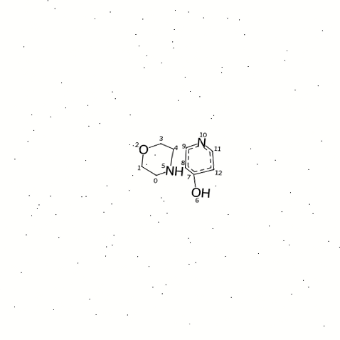 C1COCCN1.Oc1ccncc1